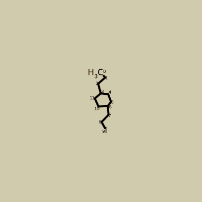 CCCC1CCC(CCI)CC1